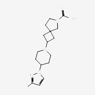 Cc1ccn(C2CCN(C3CC4(CCN(C(=O)O)C4)C3)CC2)n1